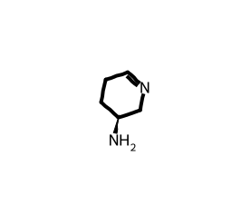 N[C@H]1CCC=NC1